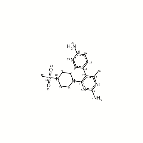 Cc1nc(N)nc(N2CCN(S(C)(=O)=O)CC2)c1-c1ccc(N)nc1